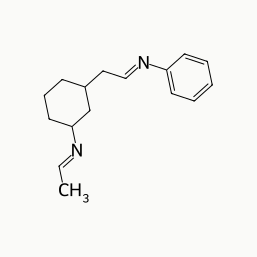 C/C=N/C1CCCC(C/C=N/c2ccccc2)C1